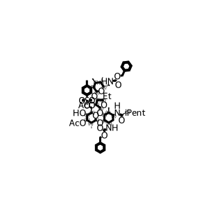 CCC[C@H](C)C(=O)N[C@@H]1C[C@H](NC(=O)OCc2ccccc2)[C@@H](O[C@H]2O[C@H](COS(=O)(=O)c3ccc(C)cc3)[C@@H](O)[C@H](OC(C)=O)[C@H]2C)[C@H](O[C@@H]2O[C@H](CC)[C@@H](O[C@H]3O[C@@H](CNC(=O)OCc4ccccc4)[C@@H](C)[C@H](C)[C@H]3C)[C@H]2OC(C)=O)[C@H]1C